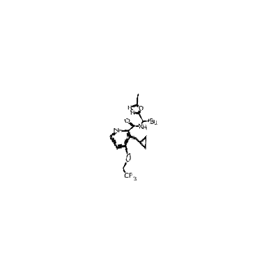 Cc1nnc(C(NC(=O)c2nccc(OCC(F)(F)F)c2C2CC2)C(C)(C)C)o1